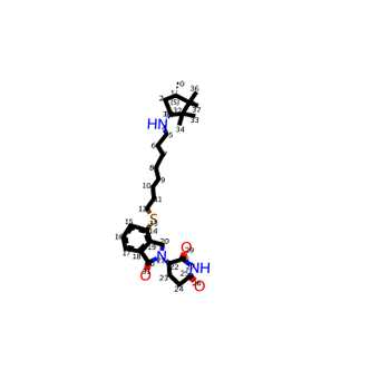 C[C@H]1C[C@@H](NCCCCCCCCSc2cccc3c2CN(C2CCC(=O)NC2=O)C3=O)C(C)(C)C1(C)C